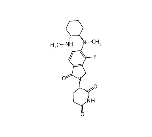 CN[C@@H]1CCCC[C@H]1N(C)c1ccc2c(c1F)CN(C1CCC(=O)NC1=O)C2=O